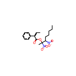 CC=C(C(=O)OC(C)(C(CCCCC)[N+](=O)[O-])[N+](=O)[O-])c1ccccc1